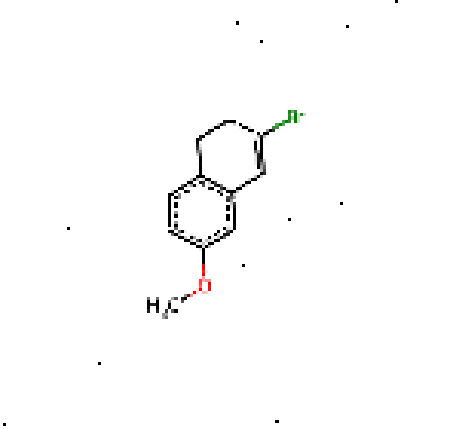 COc1ccc2c(c1)C=C(Br)CC2